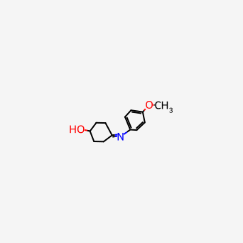 COc1ccc(N=C2CCC(O)CC2)cc1